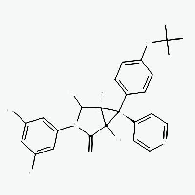 O=C1N(c2cc(Cl)cc(Cl)c2)C(O)[C@@H]2C1(O)[C@@]2(c1ccncc1)c1ccc(OC(F)(F)F)cc1